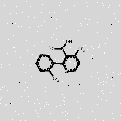 OB(O)c1c(C(F)(F)F)ccnc1-c1ccccc1C(F)(F)F